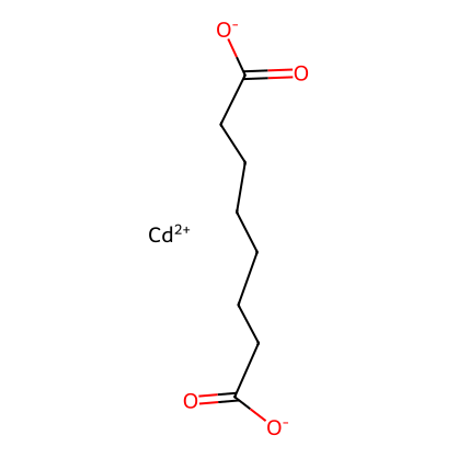 O=C([O-])CCCCCCC(=O)[O-].[Cd+2]